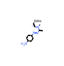 C=C(N=Nc1ccc(N)cc1)N(C)/C=C\NC